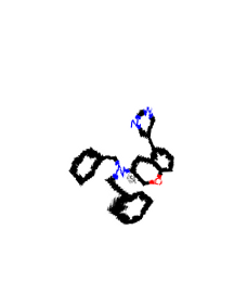 c1ccc(CN(Cc2ccccc2)[C@@H]2COc3cccc(-c4cncnc4)c3C2)cc1